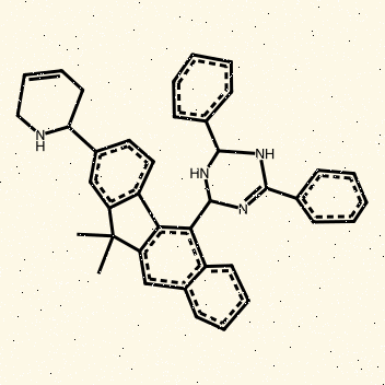 CC1(C)c2cc(C3CC=CCN3)ccc2-c2c1cc1ccccc1c2C1N=C(c2ccccc2)NC(c2ccccc2)N1